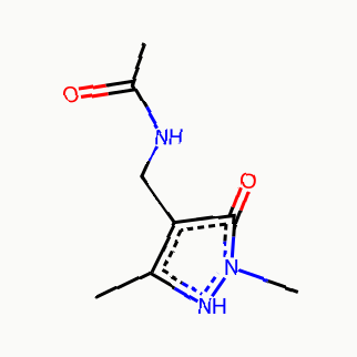 CC(=O)NCc1c(C)[nH]n(C)c1=O